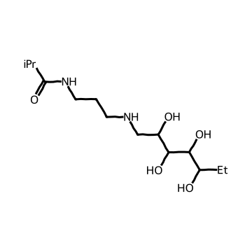 CCC(O)C(O)C(O)C(O)CNCCCNC(=O)C(C)C